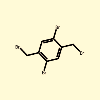 BrCc1cc(Br)c(CBr)cc1Br